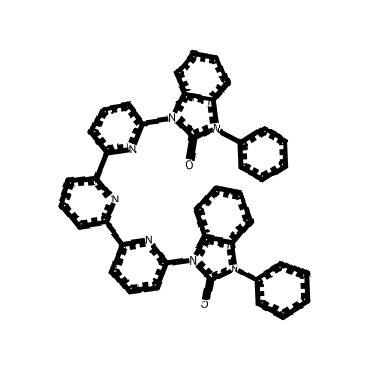 O=c1n(-c2ccccc2)c2ccccc2n1-c1cccc(-c2cccc(-c3cccc(-n4c(=O)n(-c5ccccc5)c5ccccc54)n3)n2)n1